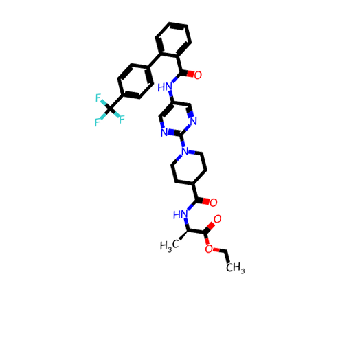 CCOC(=O)[C@@H](C)NC(=O)C1CCN(c2ncc(NC(=O)c3ccccc3-c3ccc(C(F)(F)F)cc3)cn2)CC1